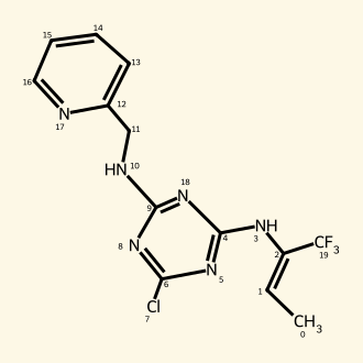 CC=C(Nc1nc(Cl)nc(NCc2ccccn2)n1)C(F)(F)F